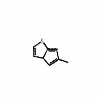 CC1=CC2C=CSC2=C1